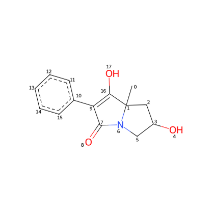 CC12CC(O)CN1C(=O)C(c1ccccc1)=C2O